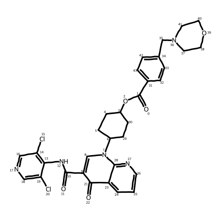 O=C(OC1CCC(n2cc(C(=O)Nc3c(Cl)cncc3Cl)c(=O)c3cccnc32)CC1)c1ccc(CN2CCOCC2)cc1